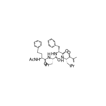 C=C(C)C(=O)[C@H](CC(C)C)NC(=O)[C@H](Cc1ccccc1)NC(=O)[C@H](CC(C)C)NC(=O)[C@H](CCc1ccccc1)NC(C)=O